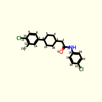 O=C(CC1CCC(c2ccc(Cl)c(F)c2)CC1)Nc1ccc(Cl)cc1